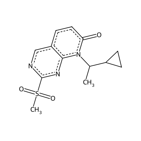 CC(C1CC1)n1c(=O)ccc2cnc(S(C)(=O)=O)nc21